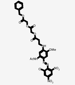 COc1cc(/N=N/c2c(Cl)cc([N+](=O)[O-])cc2[N+](=O)[O-])c(NC(C)=O)cc1NCCC(=O)OCC(=O)OCC(=O)OCc1ccccc1